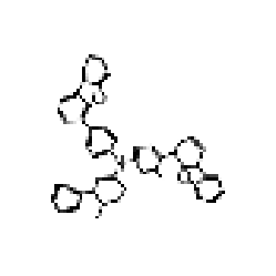 CC1CC(N(C2=CC(c3ccccc3)C(C)CC2)c2ccc(-c3cccc4c3oc3ccccc34)cc2)=CC=C1C1CC=Cc2c1oc1ccccc21